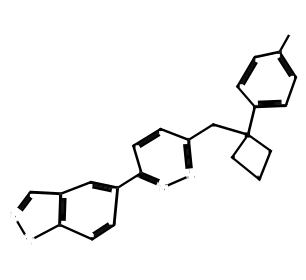 Fc1ccc(C2([CH]c3ccc(-c4ccc5[nH]ncc5c4)nn3)CCC2)cc1